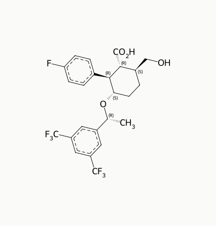 C[C@@H](O[C@H]1CC[C@H](CO)[C@@H](C(=O)O)[C@@H]1c1ccc(F)cc1)c1cc(C(F)(F)F)cc(C(F)(F)F)c1